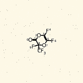 O=C1OC(F)=C(F)OC1(F)C(F)(F)F